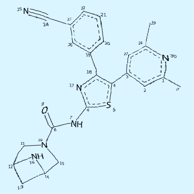 Cc1cc(-c2sc(NC(=O)N3CC4CC(C3)N4)nc2-c2cccc(C#N)c2)cc(C)n1